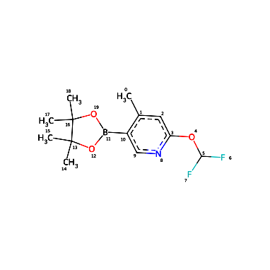 Cc1cc(OC(F)F)ncc1B1OC(C)(C)C(C)(C)O1